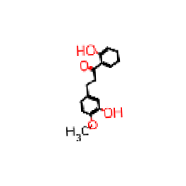 COc1ccc(CCC(=O)C2=CCCC=C2O)cc1O